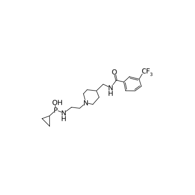 O=C(NCC1CCN(CCNP(O)C2CC2)CC1)c1cccc(C(F)(F)F)c1